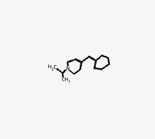 CC(C)N1CCC(CC2CCCCC2)CC1